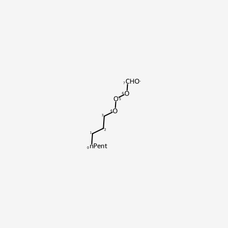 CCCCCCCCOOO[C]=O